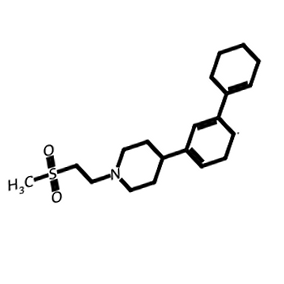 CS(=O)(=O)CCN1CCC(C2=CC[CH]C(C3=CCCCC3)=C2)CC1